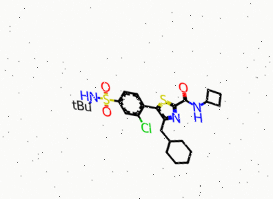 CC(C)(C)NS(=O)(=O)c1ccc(-c2sc(C(=O)NC3CCC3)nc2CC2CCCCC2)c(Cl)c1